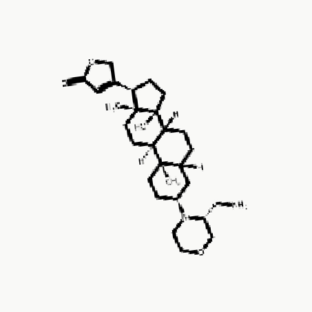 C[C@]12CC[C@H](N3CCOC[C@H]3CN)C[C@H]1CC[C@@H]1[C@@H]2CC[C@]2(C)[C@@H](C3=CC(=O)OC3)CC[C@]12O